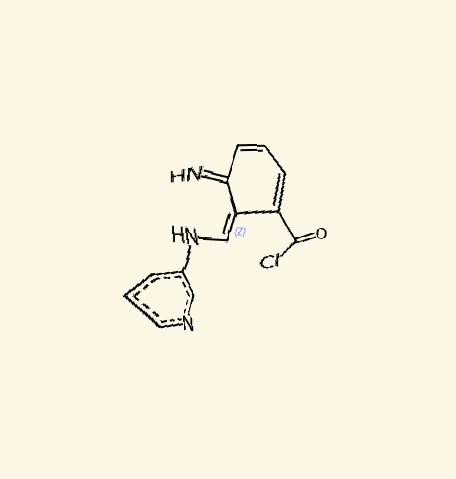 N=C1C=CC=C(C(=O)Cl)/C1=C/Nc1cccnc1